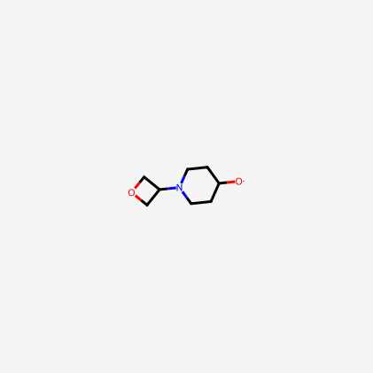 [O]C1CCN(C2COC2)CC1